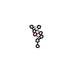 c1ccc(-c2ccc3c(c2)c2ccccc2n3-c2ccccc2-c2ccccc2N(c2ccccc2)c2cccc3c2oc2ccccc23)cc1